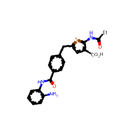 CCC(=O)Nc1sc(Cc2ccc(C(=O)Nc3ccccc3N)cc2)cc1C(=O)O